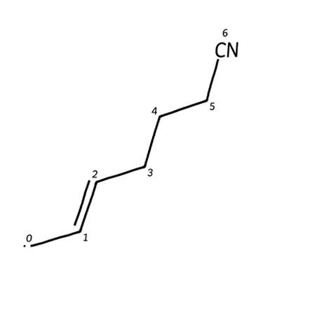 [CH2]C=CCCCC#N